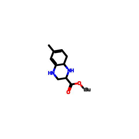 CC1=CCC2NC(C(=O)OC(C)(C)C)CNC2=C1